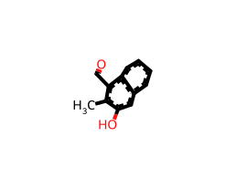 Cc1c(O)cc2ccccc2c1C=O